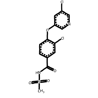 CS(=O)(=O)NC(=O)c1ccc(Oc2cncc(Cl)c2)c(Cl)c1